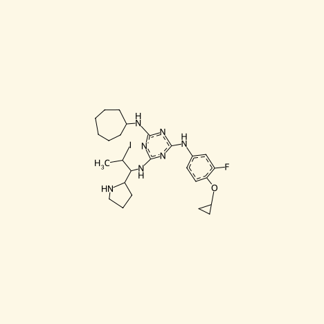 CC(I)C(Nc1nc(Nc2ccc(OC3CC3)c(F)c2)nc(NC2CCCCCC2)n1)C1CCCN1